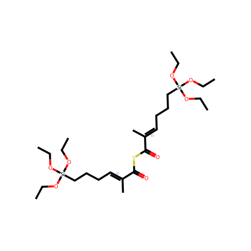 CCO[Si](CCC/C=C(\C)C(=O)SC(=O)/C(C)=C/CCC[Si](OCC)(OCC)OCC)(OCC)OCC